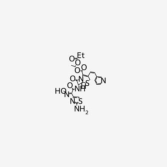 CCC(=O)OC(C)OC(=O)C1=C(/C=C\c2cccnc2)CS[C@@H]2[C@H](NC(=O)/C(=N\O)c3csc(N)n3)C(=O)N12